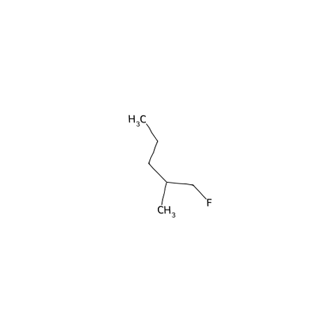 CCCC(C)CF